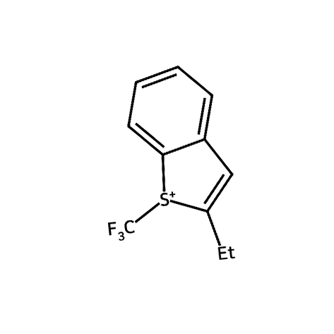 CCc1cc2ccccc2[s+]1C(F)(F)F